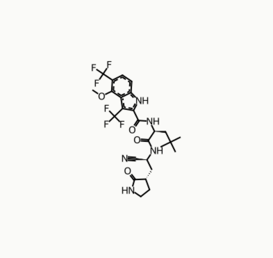 COc1c(C(F)(F)F)ccc2[nH]c(C(=O)N[C@@H](CC(C)(C)C)C(=O)N[C@H](C#N)C[C@@H]3CCNC3=O)c(C(F)(F)F)c12